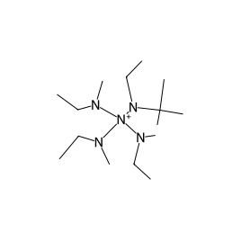 CCN(C)[N+](N(C)CC)(N(C)CC)N(CC)C(C)(C)C